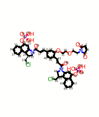 O=C1C=CC(=O)N1CCOCCOc1cc(C=CC(=O)N2C[C@@H](CCl)c3c2cc(OP(=O)(O)O)c2ccccc32)ccc1C=CC(=O)N1CC(CCl)c2c1cc(OP(=O)(O)O)c1ccccc21